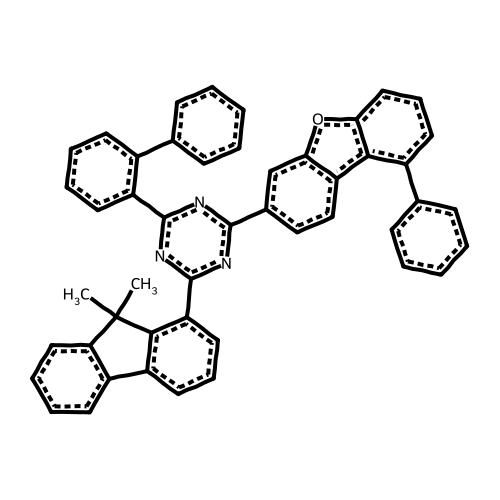 CC1(C)c2ccccc2-c2cccc(-c3nc(-c4ccc5c(c4)oc4cccc(-c6ccccc6)c45)nc(-c4ccccc4-c4ccccc4)n3)c21